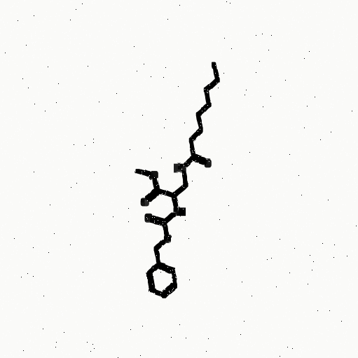 CCCCCCCC(=O)NCC(NC(=O)OCc1ccccc1)C(=O)OC